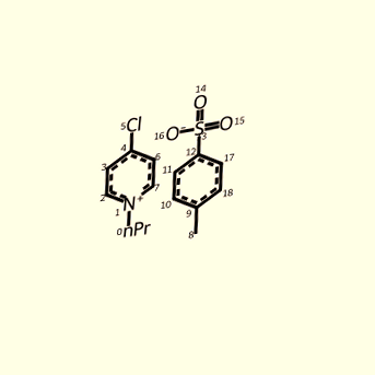 CCC[n+]1ccc(Cl)cc1.Cc1ccc(S(=O)(=O)[O-])cc1